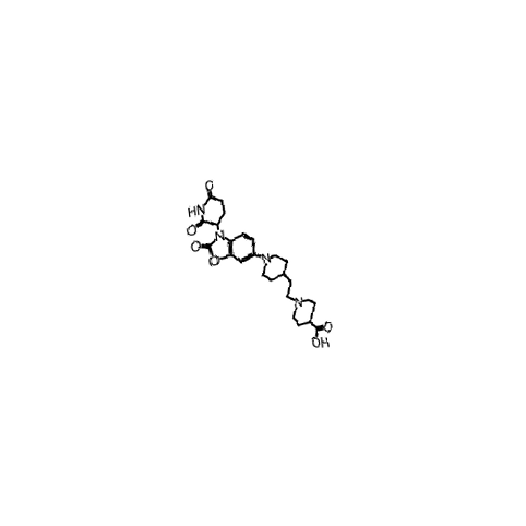 O=C1CCC(n2c(=O)oc3cc(N4CCC(CCN5CCC(C(=O)O)CC5)CC4)ccc32)C(=O)N1